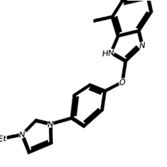 CCN1C=CN(c2ccc(Oc3nc4cccc(C)c4[nH]3)cc2)C1